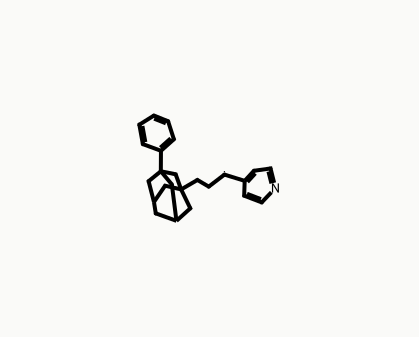 [CH](CCC12CC3CC(C1)CC(c1ccccc1)(C3)C2)c1ccncc1